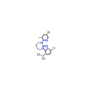 CCC(CC)c1ccc(Cl)c2nc3n(c12)CCCCN3c1ncc(Br)cc1C